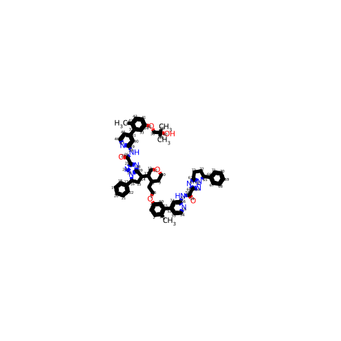 Cc1ccc(OCCC2CCOCC2C2CC(c3ccccc3)n3nc(C(=O)Nc4cc(-c5cc(OCC(C)(C)O)ccc5C)ccn4)nc32)cc1-c1ccnc(NC(=O)c2nc3n(n2)C(c2ccccc2)CC3)c1